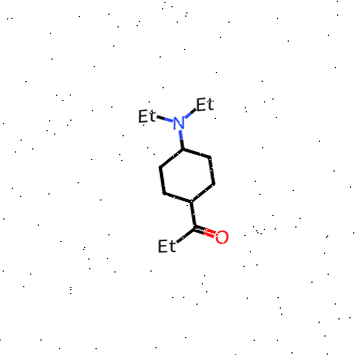 CCC(=O)C1CCC(N(CC)CC)CC1